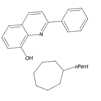 CCCCCC1CCCCCC1.Oc1cccc2ccc(-c3ccccc3)nc12